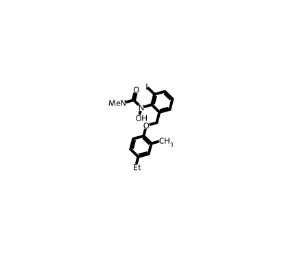 CCc1ccc(OCc2cccc(I)c2N(O)C(=O)NC)c(C)c1